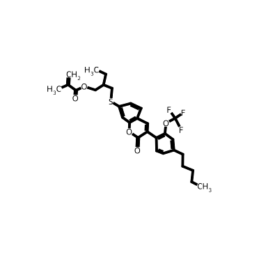 C=C(C)C(=O)OCC(CC)CSc1ccc2cc(-c3ccc(CCCCC)cc3OC(F)(F)F)c(=O)oc2c1